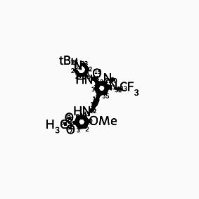 COc1ccc(S(C)(=O)=O)cc1NCC#Cc1cc(C(=O)NC2CCN(C(C)(C)C)CC2)c2ncn(CC(F)(F)F)c2c1